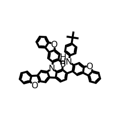 CC(C)(C)c1ccc(Nc2cc3oc4ccccc4c3cc2-c2ccc3c4cc5oc6ccccc6c5cc4n4c3c2Bc2cc3oc5ccccc5c3cc2-4)cc1